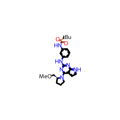 COC[C@@H]1CCCN1c1nc(Nc2cccc(NS(=O)(=O)C(C)(C)C)c2)nc2[nH]ccc12